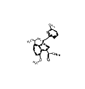 COc1ccc(C(C)C)c2c1c(C(=O)O)cn2Cc1cccc(C)n1